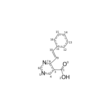 O=C(O)c1cncnc1/C=C/c1ccccc1